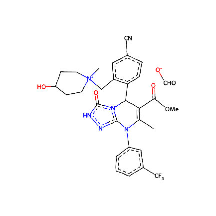 COC(=O)C1=C(C)N(c2cccc(C(F)(F)F)c2)c2n[nH]c(=O)n2C1c1ccc(C#N)cc1C[N+]1(C)CCC(O)CC1.O=C[O-]